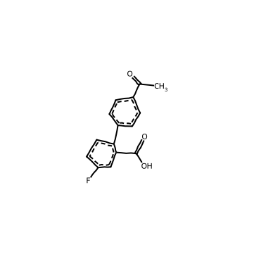 CC(=O)c1ccc(-c2ccc(F)cc2C(=O)O)cc1